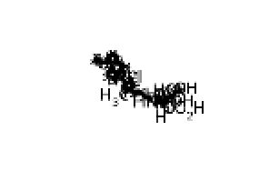 Cc1cc(COC2(c3cnccc3-c3ccccc3OC3CC3)CC2)c(Cl)cc1CCCCNC(=O)N[C@@H](C(=O)O)[C@@H](O)[C@H](O)[C@H](O)CO